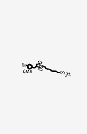 CCOC(=O)CCCCCCN1C(=O)C/C(=C\c2ccc(Br)cc2OC)C1=O